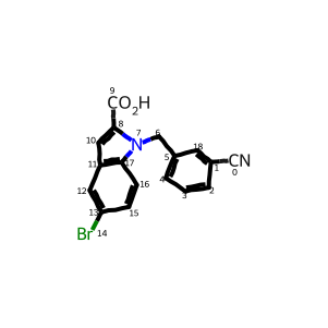 N#Cc1cccc(Cn2c(C(=O)O)cc3cc(Br)ccc32)c1